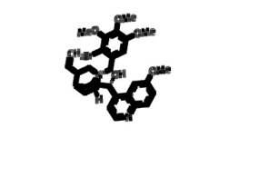 C=CC1C[N+]2(Cc3cc(OC)c(OC)c(OC)c3Br)CCC1C[C@H]2[C@H](O)c1ccnc2ccc(OC)cc12